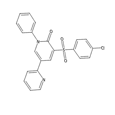 O=c1c(S(=O)(=O)c2ccc(Cl)cc2)cc(-c2ccccn2)cn1-c1ccccc1